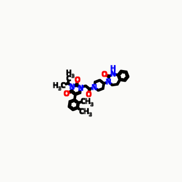 Cc1cccc(-c2cn(CC(=O)N3CCC(N4CCc5ccccc5NC4=O)CC3)c(=O)n(C(C)C)c2=O)c1C